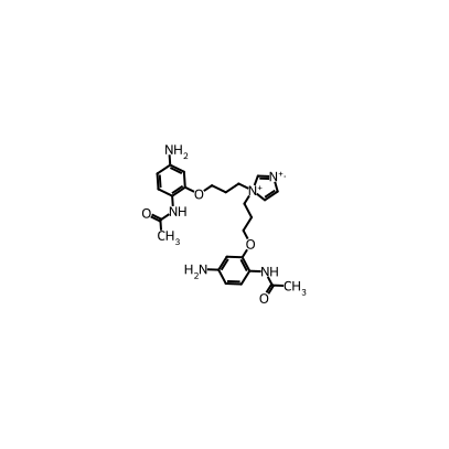 CC(=O)Nc1ccc(N)cc1OCCC[N+]1(CCCOc2cc(N)ccc2NC(C)=O)C=C[N+]=C1